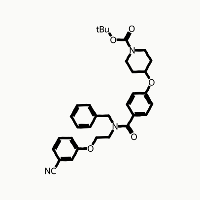 CC(C)(C)OC(=O)N1CCC(Oc2ccc(C(=O)N(CCOc3cccc(C#N)c3)Cc3ccccc3)cc2)CC1